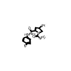 CC(C)C1CC(C(=O)NNc2ccc(F)cc2)N(C(N)=O)C1